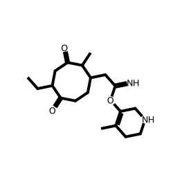 CCC1CC(=O)C(C)C(CC(=N)OC2=C(C)CCNC2)CCC1=O